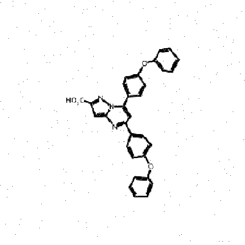 O=C(O)c1cc2nc(-c3ccc(Oc4ccccc4)cc3)cc(-c3ccc(Oc4ccccc4)cc3)n2n1